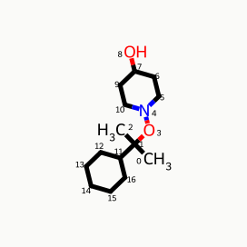 CC(C)(ON1CCC(O)CC1)C1CCCCC1